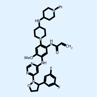 C=CC(=O)Nc1cc(Nc2cc(N3OCCC3c3cc(F)cc(F)c3)ncn2)c(OC)cc1N1CCC(NC2CCN(C(C)C)CC2)CC1